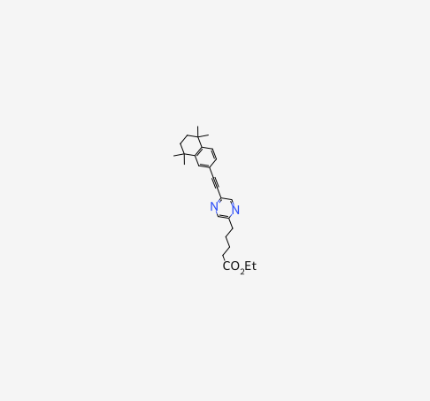 CCOC(=O)CCCCc1cnc(C#Cc2ccc3c(c2)C(C)(C)CCC3(C)C)cn1